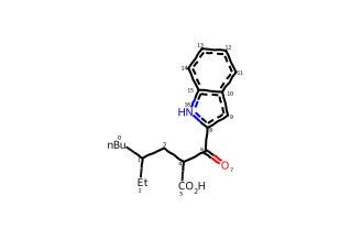 CCCCC(CC)CC(C(=O)O)C(=O)c1cc2ccccc2[nH]1